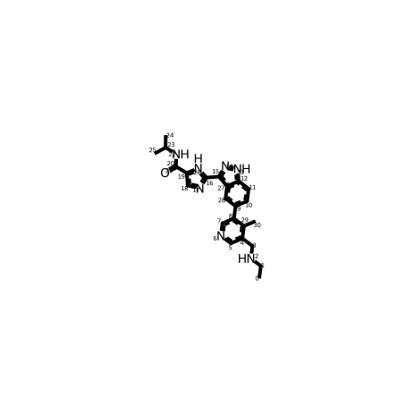 CCNCc1cncc(-c2ccc3[nH]nc(-c4ncc(C(=O)NC(C)C)[nH]4)c3c2)c1C